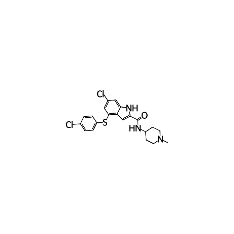 CN1CCC(NC(=O)c2cc3c(Sc4ccc(Cl)cc4)cc(Cl)cc3[nH]2)CC1